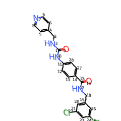 O=C(NCc1ccncc1)Nc1ccc(C(=O)NCc2cc(Cl)cc(Cl)c2)cc1